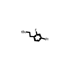 CC(C)c1ccc(CCC(C)(C)C)c(F)c1